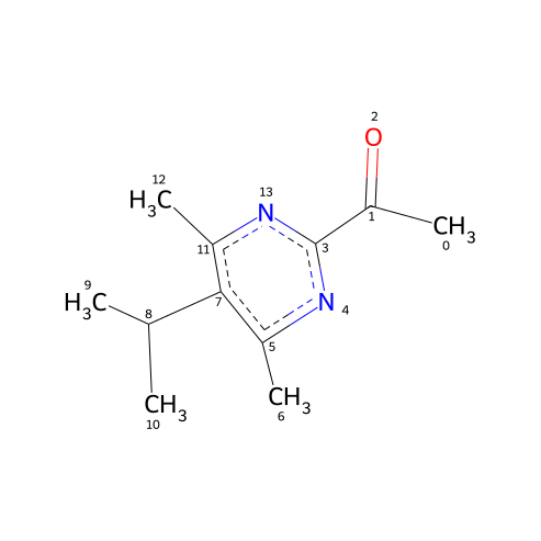 CC(=O)c1nc(C)c(C(C)C)c(C)n1